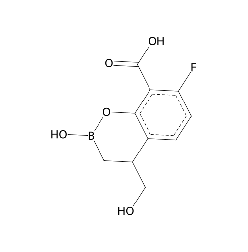 O=C(O)c1c(F)ccc2c1OB(O)CC2CO